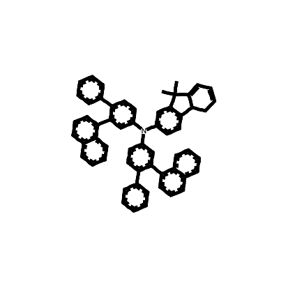 CC1(C)C2=CC=CCC2c2ccc(N(c3ccc(-c4ccccc4)c(-c4cccc5ccccc45)c3)c3ccc(-c4ccccc4)c(-c4cccc5ccccc45)c3)cc21